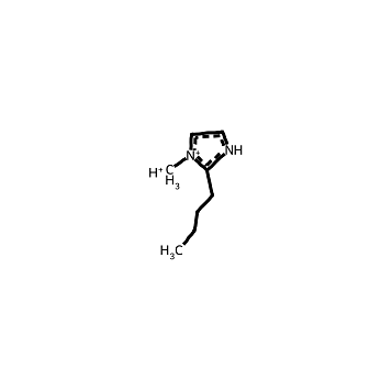 CCCCc1[nH]cc[n+]1C.[H+]